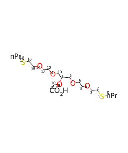 CCCSCCOCCOCC(COCCOCCSCCC)OCC(=O)O